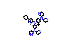 Cc1nc(-c2ccccc2)ccc1N1c2ccc(N(c3cccnc3)c3cccnc3)cc2C(C)(C)c2cc(N(c3cccnc3)c3cccnc3)ccc21